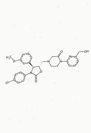 COc1cccc([C@H]2[C@H](CN3CCN(c4cccc(CO)n4)C(=O)C3)OC(=O)N2c2ccc(Cl)cc2)c1